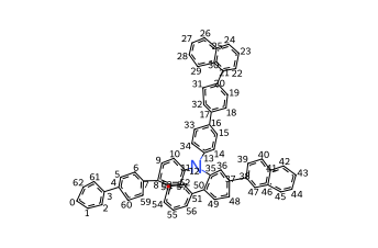 c1ccc(-c2ccc(-c3ccc(N(c4ccc(-c5ccc(-c6cccc7ccccc67)cc5)cc4)c4cc(-c5ccc6ccccc6c5)ccc4-c4ccccc4)cc3)cc2)cc1